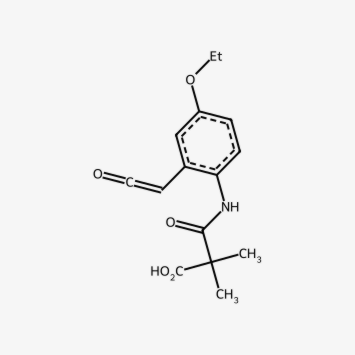 CCOc1ccc(NC(=O)C(C)(C)C(=O)O)c(C=C=O)c1